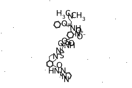 CN(C)CC[C@H](COc1ccccc1)Nc1ccc(S(=O)(=O)NC(=O)c2csc(N3CCc4cccc(C(=O)Nc5cn6ncccc6n5)c4C3)n2)cc1[N+](=O)[O-]